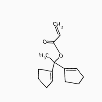 C=CC(=O)OC(C)(C1=CCCC1)C1=CCCC1